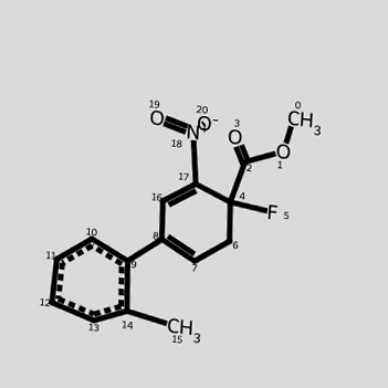 COC(=O)C1(F)CC=C(c2ccccc2C)C=C1[N+](=O)[O-]